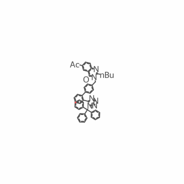 CCCCc1nc2ccc(C(C)=O)cc2c(=O)n1Cc1ccc(-c2ccccc2-c2nnnn2C(c2ccccc2)(c2ccccc2)c2ccccc2)cc1